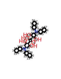 O=C1C(=C2C(O)=CC(=[N+](c3ccc4ccccc4c3)c3ccc4ccccc4c3)C=C2O)C(O)=C1c1c(O)cc(N(c2ccc3ccccc3c2)c2ccc3ccccc3c2)cc1O